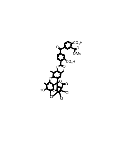 COC(=O)c1cc(C(=O)c2ccc(C(=O)Oc3c(I)cc4c(c3I)Oc3c(cc(I)c(O)c3I)C43OC(=O)c4c(Cl)c(Cl)c(Cl)c(Cl)c43)c(C(=O)O)c2)ccc1C(=O)O